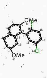 COc1ccc2ccc(OC)c(-c3cc(Cl)ccc3F)c2c1